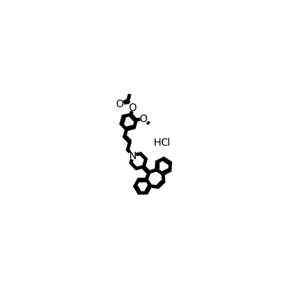 COc1cc(C=CCN2CCC(=C3c4ccccc4C=Cc4ccccc43)CC2)ccc1OC(C)=O.Cl